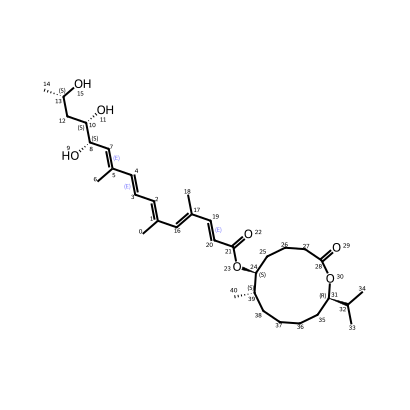 CC(=C/C=C/C(C)=C/[C@H](O)[C@@H](O)C[C@H](C)O)C=C(C)/C=C/C(=O)O[C@H]1CCCC(=O)O[C@@H](C(C)C)CCCC[C@@H]1C